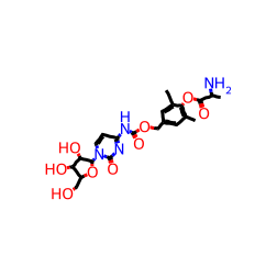 Cc1cc(COC(=O)Nc2ccn(C3OC(CO)C(O)C3O)c(=O)n2)cc(C)c1OC(=O)C(C)N